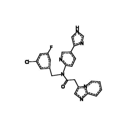 O=C(Cc1cnc2ccccn12)N(Cc1cc(F)cc(Cl)c1)c1ccc(-c2c[nH]cn2)cn1